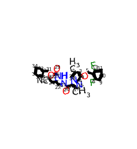 Cc1cc(OCc2c(F)cccc2F)c2nc(C)c(C(=O)NCC(CCC#N)NC(=O)OCc3ccccc3)n2c1